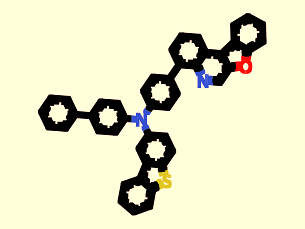 c1ccc(-c2ccc(N(c3ccc(-c4cccc5c4ncc4oc6ccccc6c45)cc3)c3ccc4sc5ccccc5c4c3)cc2)cc1